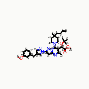 C=CCCC1(C)CCN(c2c([C@H](OC(C)(C)C)C(=O)OC)c(C)nc3cc(-n4cc(Cc5cccc(OC)c5)cn4)nn23)CC1